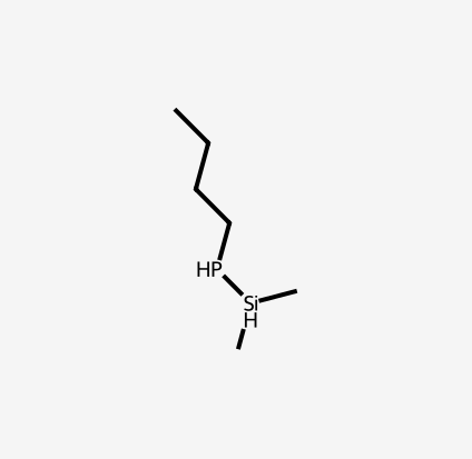 CCCCP[SiH](C)C